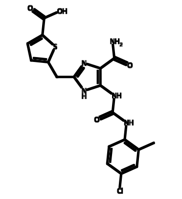 Cc1cc(Cl)ccc1NC(=O)Nc1[nH]c(Cc2ccc(C(=O)O)s2)nc1C(N)=O